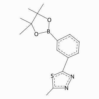 Cc1nnc(-c2cccc(B3OC(C)(C)C(C)(C)O3)c2)s1